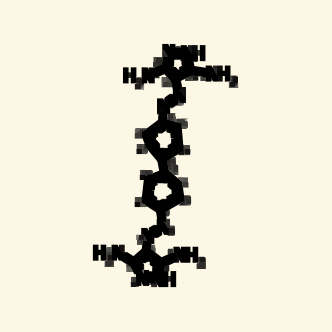 Nc1n[nH]c(N)c1/N=N/c1ccc(-c2ccc(/N=N/c3c(N)n[nH]c3N)cc2)cc1